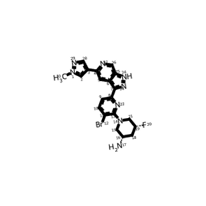 Cn1cc(-c2cc3c(-c4ccc(Br)c(N5C[C@@H](N)C[C@@H](F)C5)n4)n[nH]c3cn2)cn1